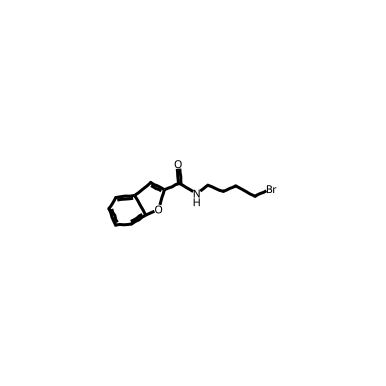 O=C(NCCCCBr)c1cc2ccccc2o1